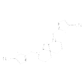 N#Cc1ccc(CN2CCCC3(CCCN(Cc4ccc(C#N)s4)C3=O)C2=O)s1